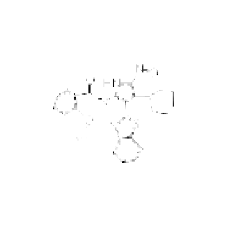 COc1ccccc1C(=O)Nc1[nH]c(N=O)c(C2CCCCC2)c1-c1nc2ccccc2s1